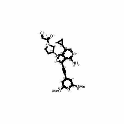 C=CC(=O)N1CC[C@H](n2nc(C#Cc3cc(OC)nc(OC)c3)c3c(N)ncc(C4CC4)c32)C1